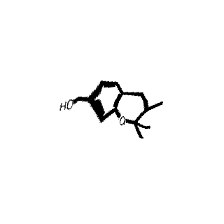 CC1Cc2ccc(O)cc2OC1(C)C